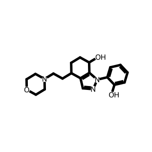 Oc1ccccc1-n1ncc2c1C(O)CCC2CCN1CCOCC1